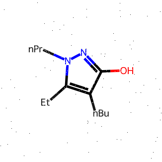 CCCCc1c(O)nn(CCC)c1CC